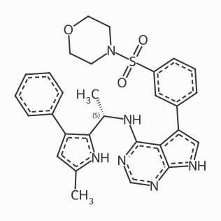 Cc1cc(-c2ccccc2)c([C@H](C)Nc2ncnc3[nH]cc(-c4cccc(S(=O)(=O)N5CCOCC5)c4)c23)[nH]1